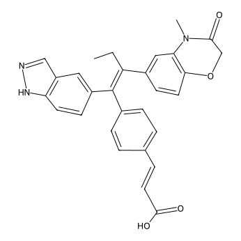 CC/C(=C(/c1ccc(/C=C/C(=O)O)cc1)c1ccc2[nH]ncc2c1)c1ccc2c(c1)N(C)C(=O)CO2